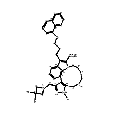 CCOC(=O)c1c(CCCOc2cccc3ccccc23)c2cccc3c2n1CCCCOCc1c-3c(CN2CC(F)(F)C2)nn1C